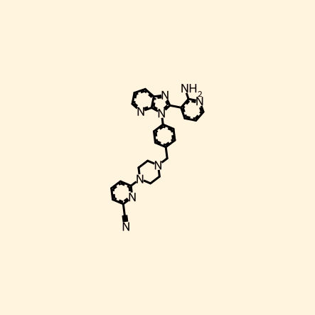 N#Cc1cccc(N2CCN(Cc3ccc(-n4c(-c5cccnc5N)nc5cccnc54)cc3)CC2)n1